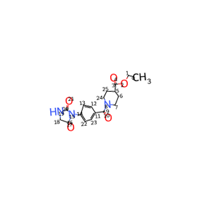 CCOC(=O)C1CCN(C(=O)c2ccc(N3C(=O)CNC3=O)cc2)CC1